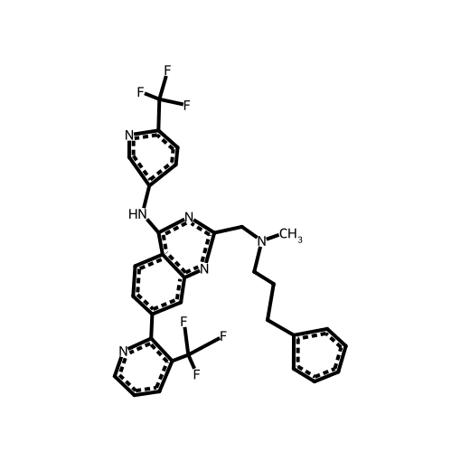 CN(CCCc1ccccc1)Cc1nc(Nc2ccc(C(F)(F)F)nc2)c2ccc(-c3ncccc3C(F)(F)F)cc2n1